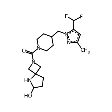 Cc1cc(C(F)F)n(CC2CCN(C(=O)N3CC4(CCC(O)N4)C3)CC2)n1